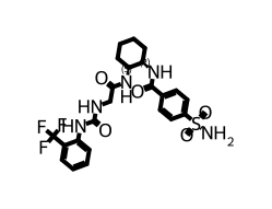 NS(=O)(=O)c1ccc(C(=O)N[C@@H]2CCCC[C@@H]2NC(=O)CNC(=O)Nc2ccccc2C(F)(F)F)cc1